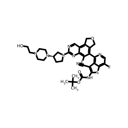 CC(C)(C)OC(=O)Nc1sc2c(F)cnc(-c3c4c(c5cnc(N6CC[C@@H](N7CCN(CCO)CC7)C6)nc5c3F)COC4)c2c1C#N